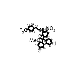 COC(=O)C(c1ccc(Cl)cc1)(c1ccc(Cl)cc1)c1ccc([N+](=O)[O-])c(NCCc2ccc(C(F)(F)F)cc2)c1